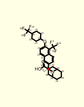 C[C@H](c1ccc2c(C(F)(F)F)c(OC3CCC(C(F)(F)F)CC3)ccc2c1)N1C2CCCC1CC(C(=O)O)C2